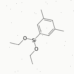 CCO[Si](OCC)c1cc(C)cc(C)c1